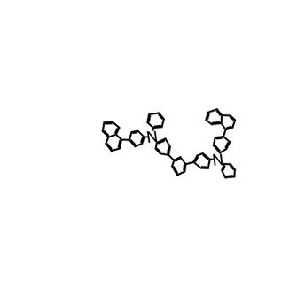 c1ccc(N(c2ccc(-c3cccc(-c4ccc(N(c5ccccc5)c5ccc(-c6cccc7ccccc67)cc5)cc4)c3)cc2)c2ccc(-c3cccc4ccccc34)cc2)cc1